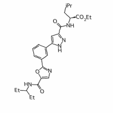 CCOC(=O)[C@H](CC(C)C)NC(=O)c1cc(-c2cccc(-c3ncc(C(=O)NC(CC)CC)o3)c2)[nH]n1